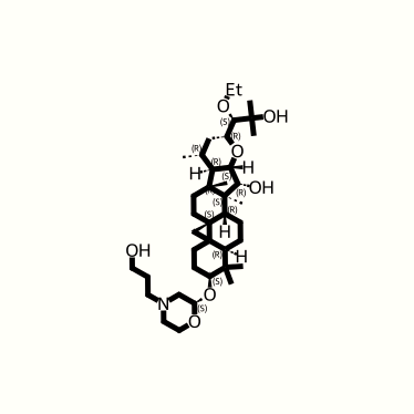 CCO[C@@H]([C@H]1C[C@@H](C)[C@H]2[C@H](O1)[C@H](O)[C@@]1(C)[C@@H]3CC[C@H]4C(C)(C)[C@@H](O[C@H]5CN(CCCO)CCO5)CCC45C[C@@]35CC[C@]21C)C(C)(C)O